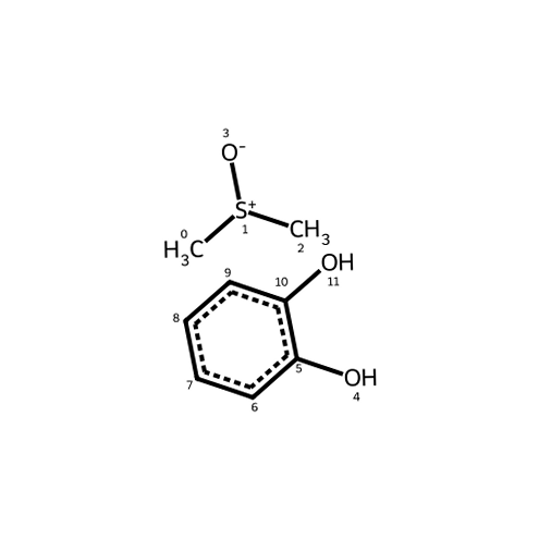 C[S+](C)[O-].Oc1ccccc1O